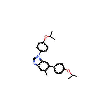 Cc1cc2ncn(-c3ccc(OC(C)C)cc3)c2cc1-c1ccc(OC(C)C)cc1